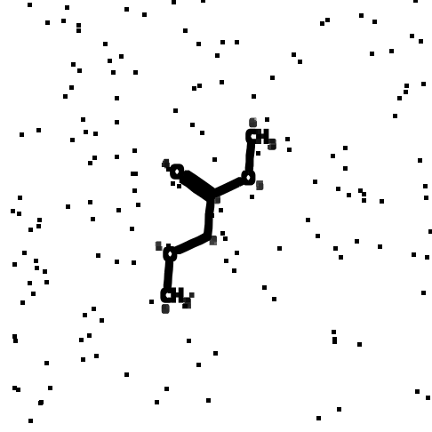 [CH2]OCC(=O)OC